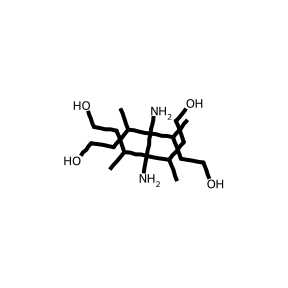 CC(CCO)C(N)(C(C)CCO)C(N)(C(C)CCO)C(C)CCO